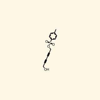 Cc1ccc(S(=O)(=O)OCC#CC#CCO)cc1